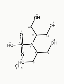 C.O=S(=O)(O)N(C(CO)CO)C(CO)CO